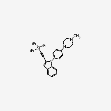 CC(C)[Si](C#Cc1nc2ccccc2n1-c1ccc(N2CCN(C)CC2)cc1)(C(C)C)C(C)C